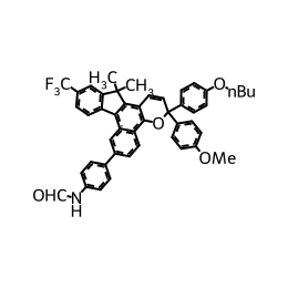 CCCCOc1ccc(C2(c3ccc(OC)cc3)C=Cc3c4c(c5cc(-c6ccc(NC=O)cc6)ccc5c3O2)-c2ccc(C(F)(F)F)cc2C4(C)C)cc1